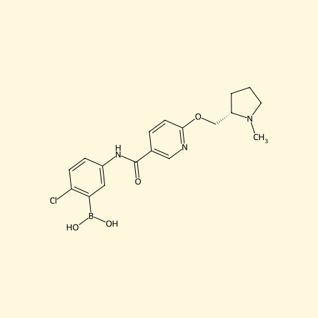 CN1CCC[C@H]1COc1ccc(C(=O)Nc2ccc(Cl)c(B(O)O)c2)cn1